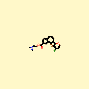 CN(C)CCOC(=O)c1ccc2c(c1)=c1sc3c(c1C=CC=2)OC=CC=3Cl